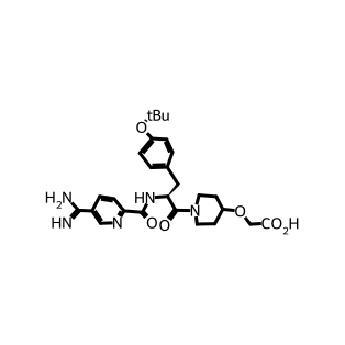 CC(C)(C)Oc1ccc(C[C@H](NC(=O)c2ccc(C(=N)N)cn2)C(=O)N2CCC(OCC(=O)O)CC2)cc1